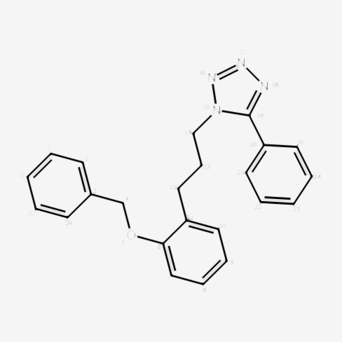 c1ccc(COc2ccccc2CCCn2nnnc2-c2ccccc2)cc1